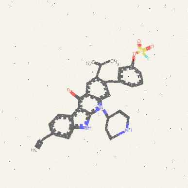 C#Cc1ccc2c(c1)[nH]c1c2c(=O)c2cc(C(C)C)c(-c3cccc(OS(=O)(=O)F)c3)cc2n1C1CCNCC1